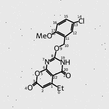 CCc1cc(=O)oc2nc(OCc3cc(Cl)ccc3OC)[nH]c(=O)c12